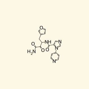 NC(=O)C(=O)C(Cc1ccoc1)NC(=O)c1cncn1-c1ccncc1